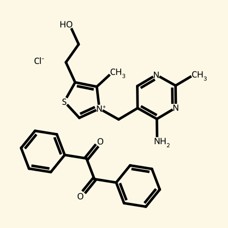 Cc1ncc(C[n+]2csc(CCO)c2C)c(N)n1.O=C(C(=O)c1ccccc1)c1ccccc1.[Cl-]